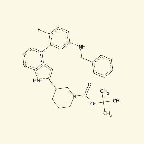 CC(C)(C)OC(=O)N1CCCC(c2cc3c(-c4cc(NCc5ccccc5)ccc4F)ccnc3[nH]2)C1